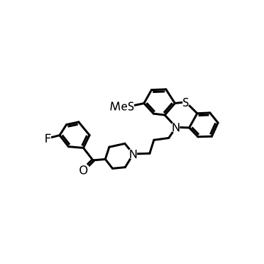 CSc1ccc2c(c1)N(CCCN1CCC(C(=O)c3cccc(F)c3)CC1)c1ccccc1S2